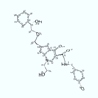 O=C(NCc1ccc(Cl)cc1)c1cn(CCO)c2sc(COC[C@@H](O)c3ccccc3)cc2c1=O